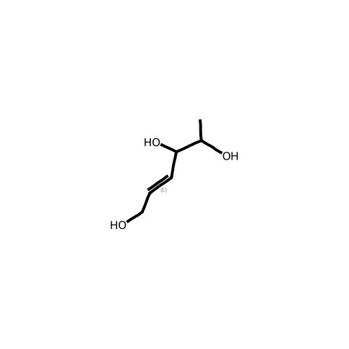 CC(O)C(O)/C=C/CO